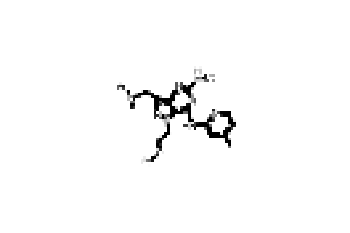 CCNc1nc(Nc2cc(C)ccn2)c2c(n1)c(CN(C)C(C)=O)nn2CCOCC